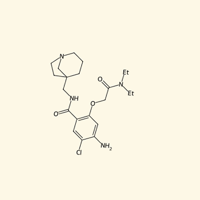 CCN(CC)C(=O)COc1cc(N)c(Cl)cc1C(=O)NCC12CCCN(CC1)C2